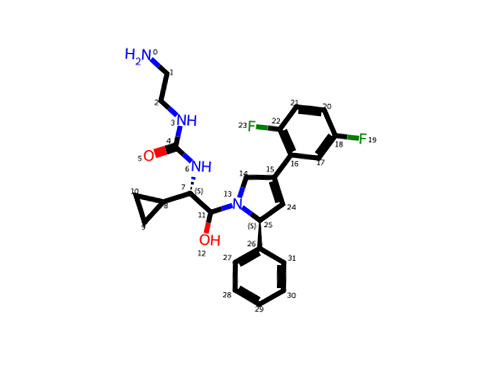 NCCNC(=O)N[C@@H](C1CC1)C(O)N1CC(c2cc(F)ccc2F)=C[C@H]1c1ccccc1